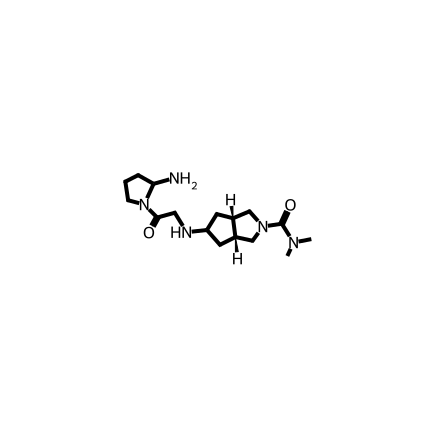 CN(C)C(=O)N1C[C@H]2CC(NCC(=O)N3CCCC3N)C[C@H]2C1